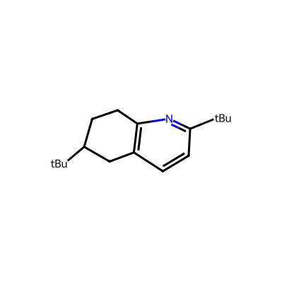 CC(C)(C)c1ccc2c(n1)CCC(C(C)(C)C)C2